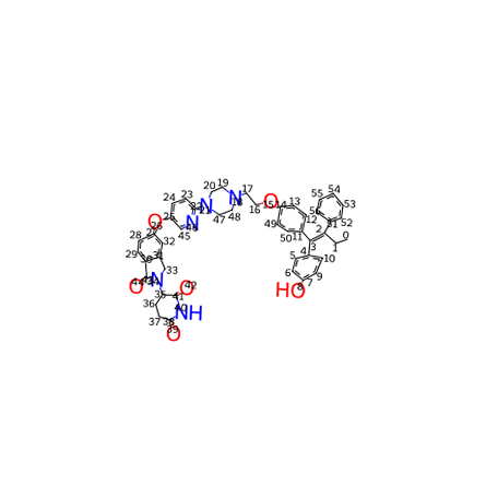 CCC(=C(c1ccc(O)cc1)c1ccc(OCCN2CCN(c3ccc(Oc4ccc5c(c4)CN(C4CCC(=O)NC4=O)C5=O)cn3)CC2)cc1)c1ccccc1